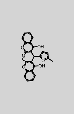 Cc1ccc(C(c2c(O)c3ccccc3oc2=O)c2c(O)c3ccccc3oc2=O)o1